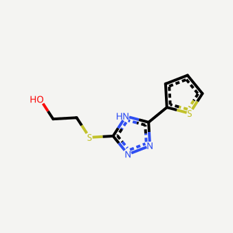 OCCSc1nnc(-c2cccs2)[nH]1